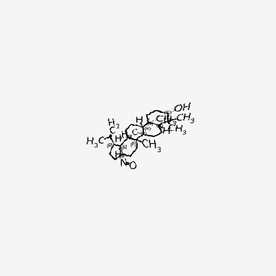 C=C(C)[C@@H]1CC[C@]2(N=O)CC[C@]3(C)[C@H](CC[C@@H]4[C@@]5(C)CC[C@H](O)C(C)(C)[C@@H]5CC[C@]43C)[C@@H]12